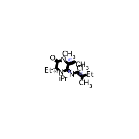 C\C=C1/C(=N\C(Cl)=C(/C)CC)N(C(C)C)[C@H](CC)C(=O)N1C